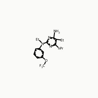 CCCc1nc(N(CC)c2cccc(OC(F)(F)F)c2)nc(N)c1CC